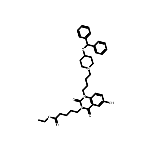 CCOC(=O)CCCCn1c(=O)c2cc(O)ccc2n(CCCCN2CCC(OC(c3ccccc3)c3ccccc3)CC2)c1=O